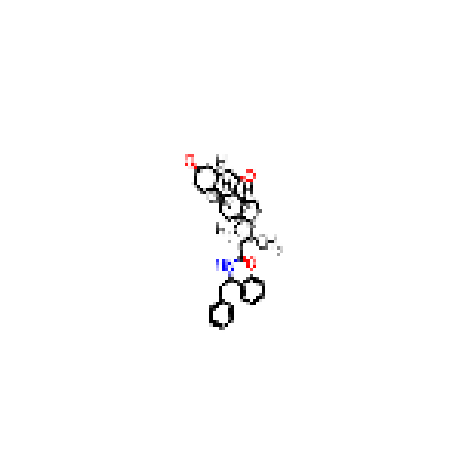 C[C@H](CC(=O)NC(Cc1ccccc1)c1ccccc1)[C@H]1CC[C@H]2[C@@H]3C(=O)C[C@@H]4CC(=O)CC[C@]4(C)[C@H]3CC[C@]12C